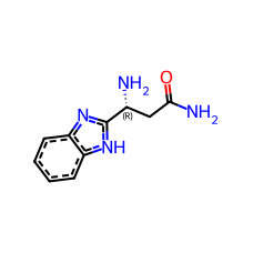 NC(=O)C[C@@H](N)c1nc2ccccc2[nH]1